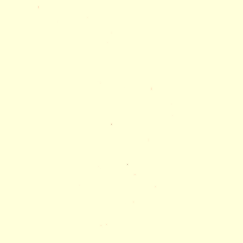 CCC(C)[Si](OCc1c(OC)ccc2cc(C)ccc12)(C(C)C)C1CC1